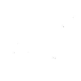 CC1(C)OB(c2ccnc3cc(CNC(=O)O)sc23)OC1(C)C